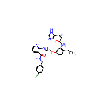 CCc1ccc(OCCNc2ncccc2C(=O)NCc2ccc(F)cc2)cc1NC(=O)/C=C\c1cnc[nH]1